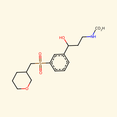 O=C(O)NCCC(O)c1cccc(S(=O)(=O)CC2CCCOC2)c1